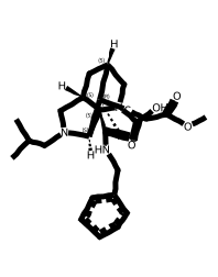 COC(=O)CC[C@@H]1[C@@H]2C[C@H]3CN(CC(C)C)[C@@H]1[C@@]3(C(=O)NCc1ccccc1)N(C(=O)O)C2